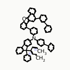 C=C/C=C(\C=C/C)C1(c2ccccc2)c2ccccc2-c2ccc(N(c3ccc(-c4ccccc4)cc3)c3cccc(-c4cccc5oc6c7ccccc7c(-c7cccc(-c8ccccc8)c7)cc6c45)c3)cc21